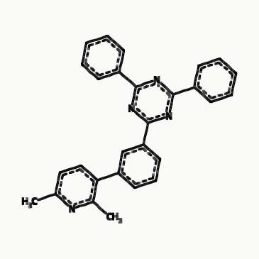 Cc1ccc(-c2cccc(-c3nc(-c4ccccc4)nc(-c4ccccc4)n3)c2)c(C)n1